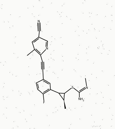 C/N=C(/N)SC1C(c2cc(C#Cc3ncc(C#N)cc3C)ccc2F)[C@@H]1C